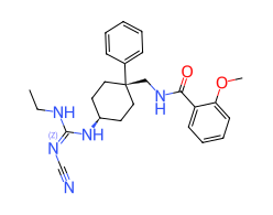 CCN/C(=N/C#N)N[C@H]1CC[C@](CNC(=O)c2ccccc2OC)(c2ccccc2)CC1